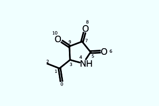 C=C(C)C1NC(=O)C(=O)C1=O